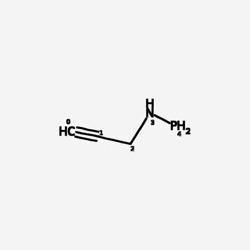 C#CCNP